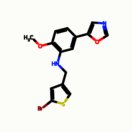 COc1ccc(-c2cnco2)cc1NCc1csc(Br)c1